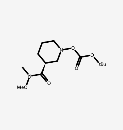 CON(C)C(=O)[C@H]1CCCN(OC(=O)OC(C)(C)C)C1